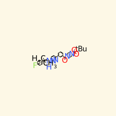 CC(C)(C)OC(=O)N1CCN(C(=O)c2cccc(-c3ccc(NCC(C)(C)c4ccc(F)cc4)nn3)c2)CC1